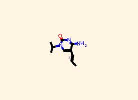 C/C=C/c1cn(C(C)C)c(=O)nc1N